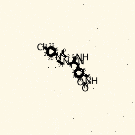 CC1CN(Cc2c[nH]nc2-c2ccc3c(c2)CNC(=O)O3)CCN1c1ccc(Cl)cc1